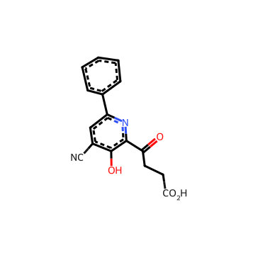 N#Cc1cc(-c2ccccc2)nc(C(=O)CCC(=O)O)c1O